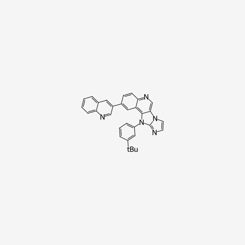 CC(C)(C)c1cccc(-n2c3c4cc(-c5cnc6ccccc6c5)ccc4ncc3n3ccnc23)c1